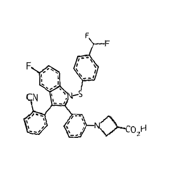 N#Cc1ccccc1-c1c(-c2cccc(N3CC(C(=O)O)C3)c2)n(Sc2ccc(C(F)F)cc2)c2ccc(F)cc12